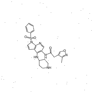 Cc1nocc1CC(=O)Nc1cnc2c(ccn2S(=O)(=O)c2ccccc2)c1NC1CCNCC1